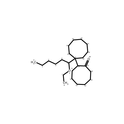 CCCCCC(OCC)C1(C2CCCCCCC2=O)CCCCCCC1